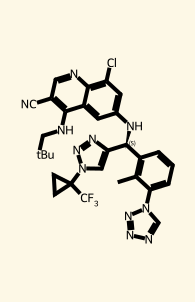 Cc1c([C@H](Nc2cc(Cl)c3ncc(C#N)c(NCC(C)(C)C)c3c2)c2cn(C3(C(F)(F)F)CC3)nn2)cccc1-n1cnnn1